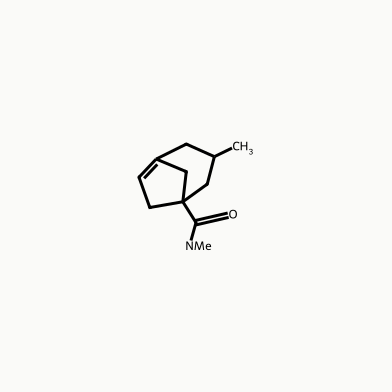 CNC(=O)C12CC=C(CC(C)C1)C2